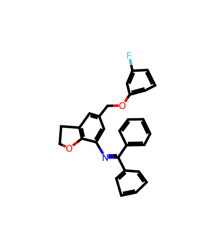 Fc1cccc(OCc2cc3c(c(N=C(c4ccccc4)c4ccccc4)c2)OCC3)c1